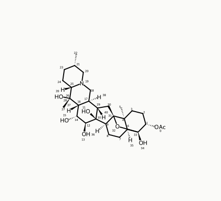 CC(=O)O[C@H]1CC[C@@]2(C)[C@@H]3CC[C@H]4[C@]5(O)[C@@H](O)[C@H](O)[C@H]6[C@@H](CN7C[C@@H](C)CC[C@H]7[C@@]6(C)O)[C@@H]5C[C@@]42O[C@]13O